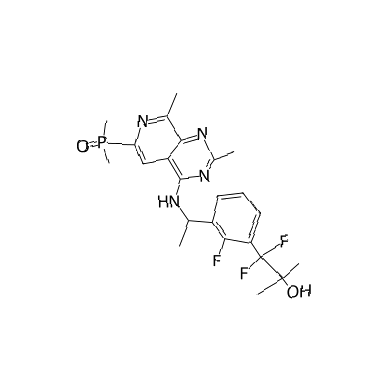 Cc1nc(NC(C)c2cccc(C(F)(F)C(C)(C)O)c2F)c2cc(P(C)(C)=O)nc(C)c2n1